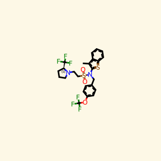 Cc1c(N(Cc2ccc(OC(F)(F)F)cc2)S(=O)(=O)CCN2CCC[C@H]2C(F)(F)F)sc2ccccc12